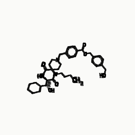 CCCCN1C(=O)[C@@H]([C@H](O)C2CCCCC2)NC(=O)C12CCN(Cc1ccc(C(=O)OCc3ccc(CO)cc3)cc1)CC2